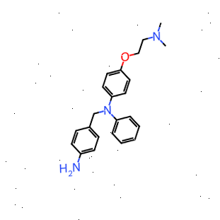 CN(C)CCOc1ccc(N(Cc2ccc(N)cc2)c2ccccc2)cc1